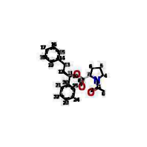 CC(=O)N1CCC[C@H]1C(=O)O[C@H](CCc1ccccc1)c1ccccc1